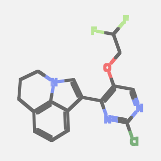 FC(F)COc1cnc(Cl)nc1-c1cn2c3c(cccc13)CCC2